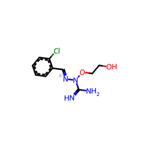 N=C(N)N(/N=C/c1ccccc1Cl)OCCO